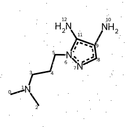 CN(C)CCCn1ncc(N)c1N